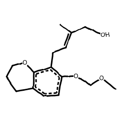 COCOc1ccc2c(c1C/C=C(\C)CO)OCCC2